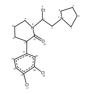 CCC(CN1CCCC1)N1CCCC(c2ccc(Cl)c(Cl)c2)C1=O